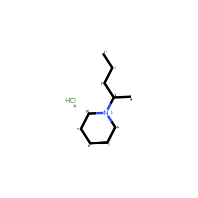 CCCC(C)N1CCCCC1.Cl